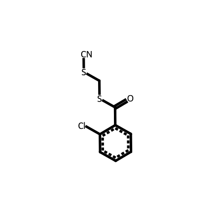 N#CSCSC(=O)c1ccccc1Cl